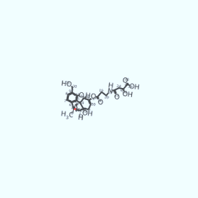 CN1CC[C@]23c4c5ccc(CO)c4O[C@H]2C(OC(=O)CCNC(=O)C[C@H](O)C(=O)O)=CC[C@@]3(O)[C@H]1C5